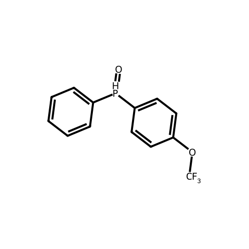 O=[PH](c1ccccc1)c1ccc(OC(F)(F)F)cc1